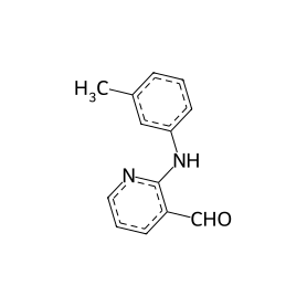 Cc1cccc(Nc2ncccc2C=O)c1